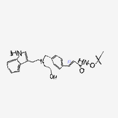 CC(C)(C)ONC(=O)/C=C/c1ccc(CN(CCO)CCc2c[nH]c3ccccc23)cc1